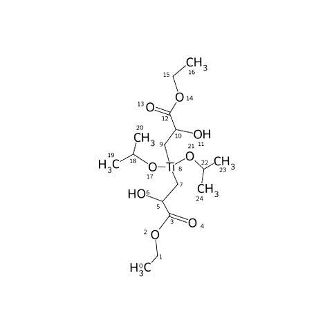 CCOC(=O)C(O)[CH2][Ti]([CH2]C(O)C(=O)OCC)([O]C(C)C)[O]C(C)C